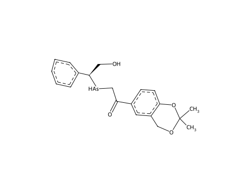 CC1(C)OCc2cc(C(=O)C[AsH][C@H](CO)c3ccccc3)ccc2O1